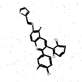 Cc1cc(C(=O)C(=Cc2c(C)ccc(N=Cc3ccco3)c2C)c2c(Cl)cccc2Cl)ccc1Cl